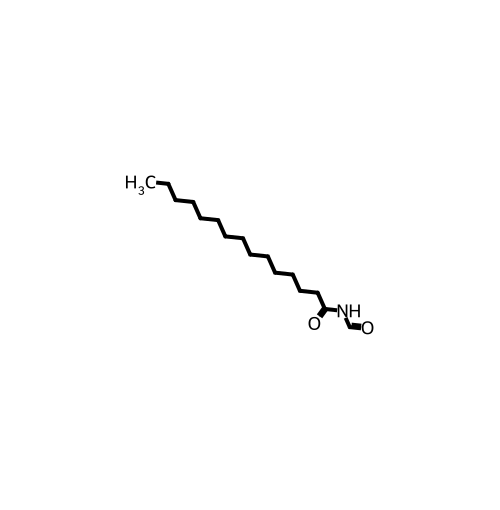 CCCCCCCCCCCCCCC(=O)NC=O